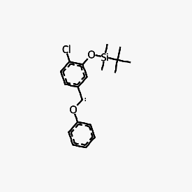 CC(C)(C)[Si](C)(C)Oc1cc([C]Oc2ccccc2)ccc1Cl